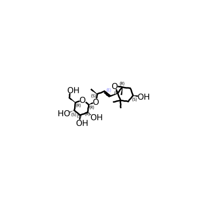 C[C@@H](/C=C/[C@@]12O[C@]1(C)C[C@@H](O)CC2(C)C)O[C@@H]1O[C@H](CO)[C@@H](O)[C@H](O)[C@H]1O